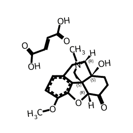 COc1ccc2c3c1O[C@H]1C(=O)CC[C@@]4(O)[C@@H](C2)N(C)CC[C@]314.O=C(O)C=CC(=O)O